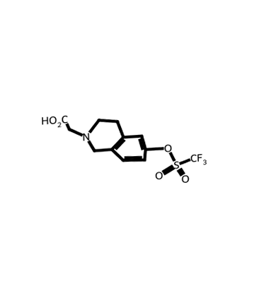 O=C(O)CN1CCc2cc(OS(=O)(=O)C(F)(F)F)ccc2C1